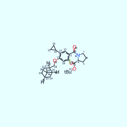 CC(C)(C)OC(=O)[C@@H]1CCCN1C(=O)c1cc(C2CC2)c(OC[C@H]2CC[C@H]3C[C@@H]2C3(C)C)cc1F